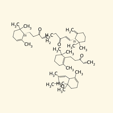 C=C1CCCC(C)(C)[C@@H]1C=CC(=O)CC.C=CC(=O)CCC1=C(C)CCCC1(C)C.C=CC(=O)CC[C@@H]1C(C)=CCCC1(C)C.CC(=O)C(C)=CC1C(C)=CCCC1(C)C